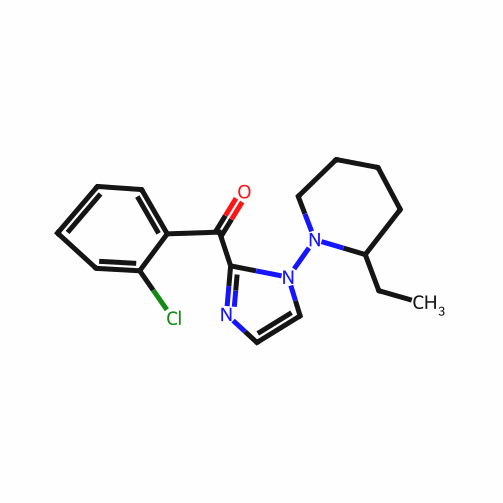 CCC1CCCCN1n1ccnc1C(=O)c1ccccc1Cl